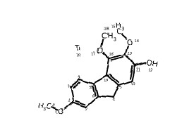 COc1ccc2c(c1)Cc1cc(O)c(OC)c(OC)c1-2.[Ti]